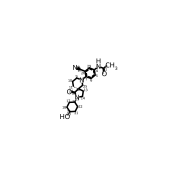 CC(=O)Nc1ccc(N2CCC[C@@]3(CCN([C@H]4CC[C@H](O)CC4)C3=O)C2)c(C#N)c1